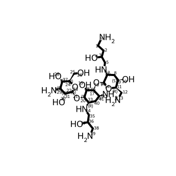 NCCC(O)CN[C@@H]1C[C@H](O)[C@@H](CN)O[C@@H]1O[C@H]1[C@H](O)[C@@H](O[C@H]2O[C@H](CO)[C@@H](O)[C@H](N)[C@H]2O)[C@H](NCC(O)CN)C[C@@H]1N